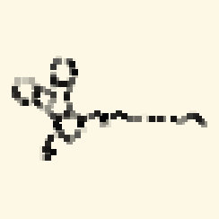 CCCCCCCCSCc1ccc(CBr)c2c1C1c3ccccc3C13c1ccccc1C23